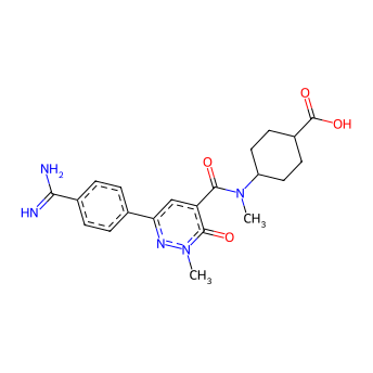 CN(C(=O)c1cc(-c2ccc(C(=N)N)cc2)nn(C)c1=O)C1CCC(C(=O)O)CC1